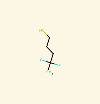 CC(F)(F)CCCS